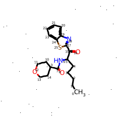 CCCCCC(NC(=O)C1CCOCC1)C(=O)c1nc2ccccc2s1